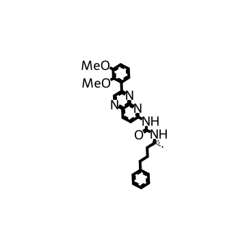 COc1cccc(-c2cnc3ccc(NC(=O)N[C@H](C)CCCc4ccccc4)nc3n2)c1OC